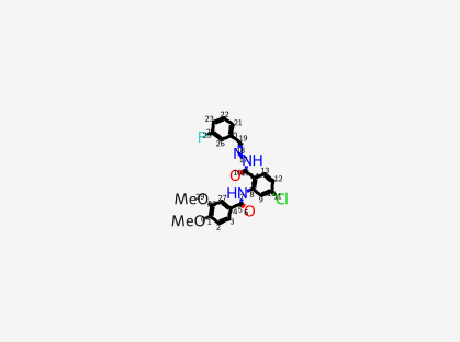 COc1ccc(C(=O)Nc2cc(Cl)ccc2C(=O)NN=Cc2cccc(F)c2)cc1OC